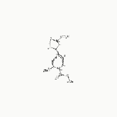 COc1cc([C@@H]2CN(C(=O)O)CCO2)ccc1C(=O)CC#N